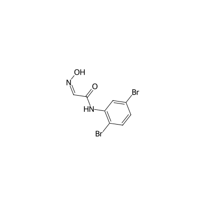 O=C(/C=N\O)Nc1cc(Br)ccc1Br